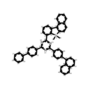 C[Si]1(C)c2ccc3ccccc3c2-c2cccc(-c3nc(-c4ccc(-c5ccccc5)cc4)nc(-c4ccc(-c5cccc6ccccc56)cc4)n3)c21